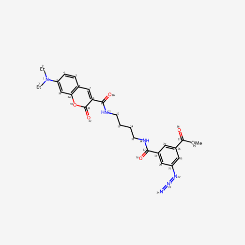 CCN(CC)c1ccc2cc(C(=O)NCCCCNC(=O)c3cc(N=[N+]=[N-])cc(C(=O)OC)c3)c(=O)oc2c1